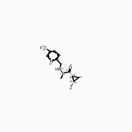 CN(NCc1ccc(C(F)(F)F)cn1)C(=O)[C@@H]1C[C@@H]1F